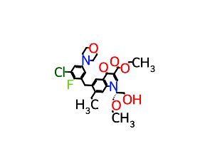 CCOC[C@@H](CO)n1cc(C(=O)OCC)c(=O)c2cc(Cc3cc(N4CCOCC4)cc(Cl)c3F)c(CC)cc21